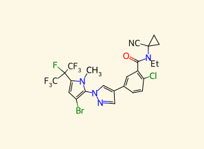 CCN(C(=O)c1cc(-c2cnn(-c3c(Br)cc(C(F)(C(F)(F)F)C(F)(F)F)n3C)c2)ccc1Cl)C1(C#N)CC1